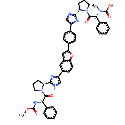 COC(=O)N[C@@H](C(=O)N1CCC[C@H]1c1nc(-c2ccc3oc(-c4ccc(-c5cnc([C@@H]6CCCN6C(=O)[C@@H](c6ccccc6)N(C)C(=O)O)[nH]5)cc4)cc3c2)c[nH]1)c1ccccc1